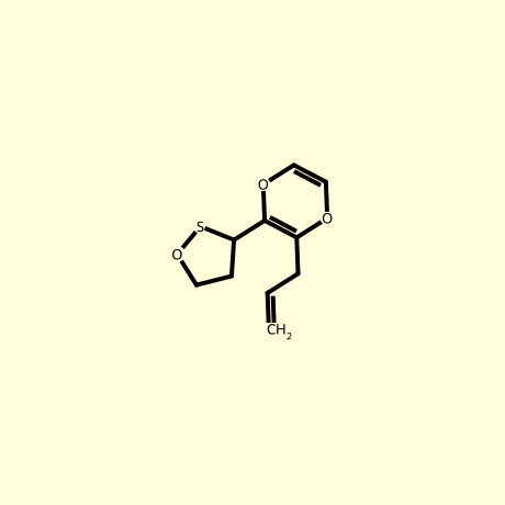 C=CCC1=C(C2CCOS2)OC=CO1